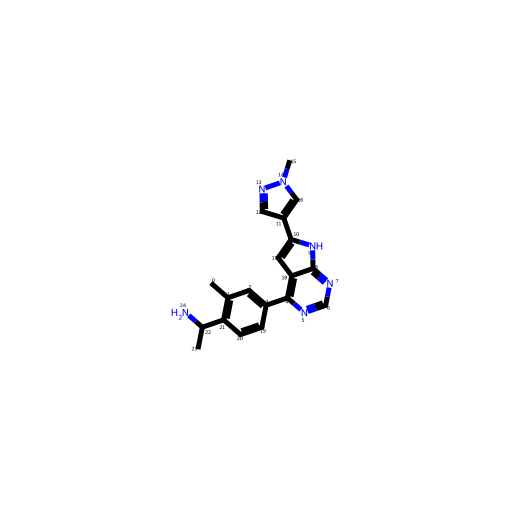 Cc1cc(-c2ncnc3[nH]c(-c4cnn(C)c4)cc23)ccc1C(C)N